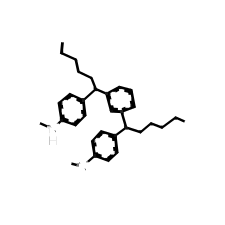 CCCCCC(c1ccc(NC)cc1)c1cccc(C(CCCCC)c2ccc(NC)cc2)c1